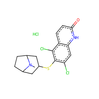 CN1C2CCC1CC(Sc1c(Cl)cc3[nH]c(=O)ccc3c1Cl)C2.Cl